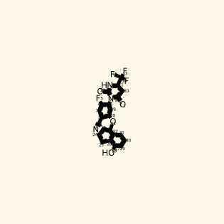 N#Cc1cc(F)c(-n2c(=O)cc(C(F)(F)F)[nH]c2=O)cc1Oc1cccc2c(O)cccc12